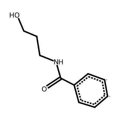 O=C(NCCCO)c1c[c][c]cc1